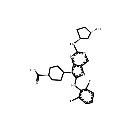 NC(=O)[C@H]1CC[C@@H](n2c(Nc3c(F)cccc3F)nc3cnc(N[C@H]4CC[C@H](O)C4)nc32)CC1